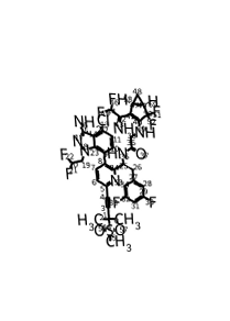 CC(C)(C#Cc1ccc(-c2ccc(Cl)c3c(N)nn(CC(F)F)c23)c([C@H](Cc2cc(F)cc(F)c2)NC(=O)CNC2=C(C(=N)C(F)F)[C@H]3C[C@H]3C2(F)F)n1)S(C)(=O)=O